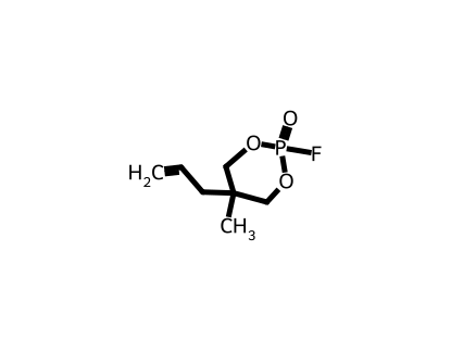 C=CCC1(C)COP(=O)(F)OC1